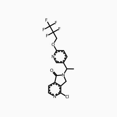 CC(c1ccc(OCC(F)(F)C(F)(F)F)nc1)N1Cc2c(ccnc2Cl)C1=O